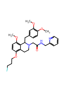 COc1ccc(CC2c3c(OC)ccc(OCCCF)c3CCN2CC(=O)NCc2ccccn2)cc1OC